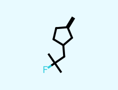 C=C1CCC(CC(C)(C)F)C1